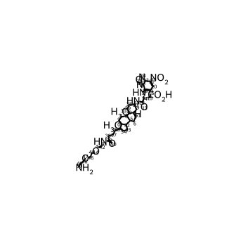 C[C@]12CCC3C(CC[C@@H]4C[C@H](NC(=O)[C@H](CC(=O)O)Nc5ccc([N+](=O)[O-])c6nonc56)CC[C@]34C)C1CCC2CCCC(=O)NCCOCCOCCN